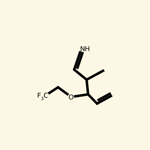 C=CC(OCC(F)(F)F)C(C)C=N